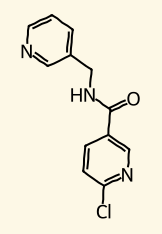 O=C(NCc1cccnc1)c1ccc(Cl)nc1